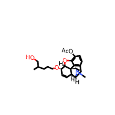 CC(=O)Oc1ccc2c3c1O[C@H]1[C@@H](OCCCC(C)CO)C=C[C@H]4[C@@H](C2)N(C)CC[C@@]341